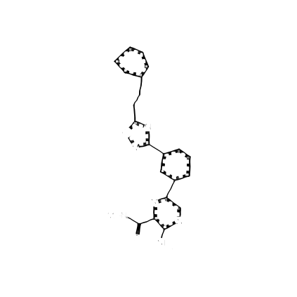 CNC(=O)c1nc(-c2cccc(-c3noc(CCc4ccccc4)n3)c2)cnc1N